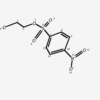 [O]CCOS(=O)(=O)c1ccc([N+](=O)[O-])cc1